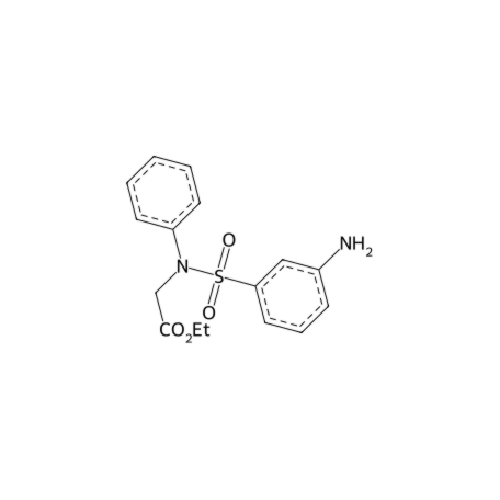 CCOC(=O)CN(c1ccccc1)S(=O)(=O)c1cccc(N)c1